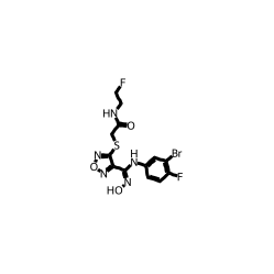 O=C(CSc1nonc1/C(=N\O)Nc1ccc(F)c(Br)c1)NCCF